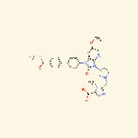 COC(=O)c1ccc(-c2ccc(-n3c(=O)n([C@H]4CCN(Cc5ncc(C(=O)O)n5C)C4)c4ncc(OC)cc43)cc2)cc1